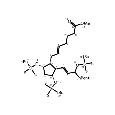 CCCCCC(C=C[C@@H]1[C@@H](CC=CCCCC(=O)OC)[C@@H](O[Si](C)(C)C(C)(C)C)C[C@H]1O[Si](C)(C)C(C)(C)C)O[Si](C)(C)C(C)(C)C